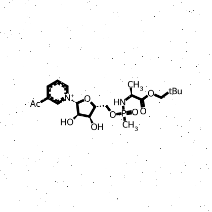 CC(=O)c1ccc[n+]([C@@H]2O[C@H](COP(C)(=O)N[C@@H](C)C(=O)OCC(C)(C)C)[C@@H](O)[C@H]2O)c1